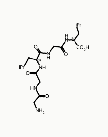 CC(C)C[C@H](NC(=O)CNC(=O)[C@H](CC(C)C)NC(=O)CNC(=O)CN)C(=O)O